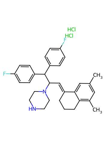 Cc1cc(C)c2c(c1)C(=CC(C(c1ccc(F)cc1)c1ccc(F)cc1)N1CCNCC1)CCC2.Cl.Cl